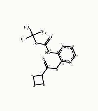 CC(C)(C)OC(=O)Nc1nccnc1CC(=O)C1CCC1